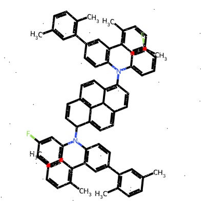 Cc1ccc(C)c(-c2ccc(N(C3=C4C=CC5=C6C(=CC=C(C=C3)C46)C(N(c3cccc(F)c3)c3ccc(-c4cc(C)ccc4C)cc3-c3cc(C)ccc3C)C=C5)c3cccc(F)c3)c(-c3cc(C)ccc3C)c2)c1